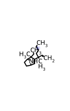 C=CC(C)(C/C=C/C)C1=CC2CCC(N2)C1(C)CC